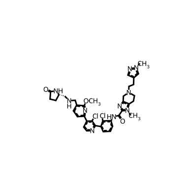 COc1nc(-c2ccnc(-c3cccc(NC(=O)c4nc5c(n4C)CCN(CCc4cnn(C)c4)C5)c3Cl)c2Cl)ccc1CNC[C@@H]1CCC(=O)N1